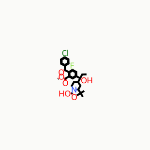 CCC(O)(c1cc(F)c(C(=O)c2ccc(Cl)cc2)c(C(=O)OC)c1)C1CCN(C(=O)O)C(C(C)(C)C)C1